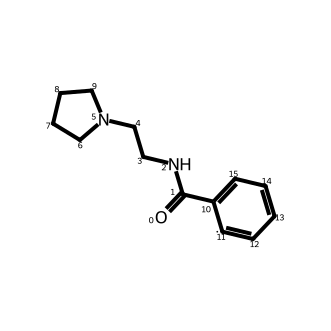 O=C(NCCN1CCCC1)c1[c]cccc1